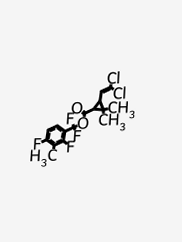 Cc1c(F)ccc(C(F)(F)OC(=O)C2C(C=C(Cl)Cl)C2(C)C)c1F